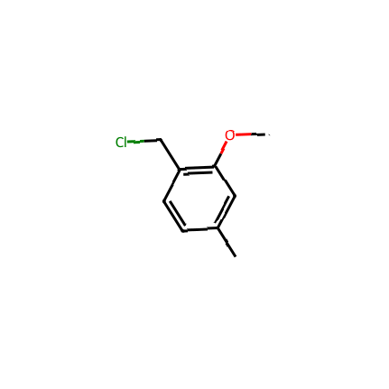 [CH2]Oc1cc(C)ccc1CCl